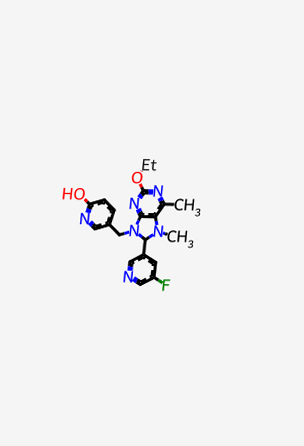 CCOc1nc(C)c2c(n1)N(Cc1ccc(O)nc1)C(c1cncc(F)c1)N2C